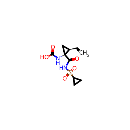 C=C[C@@H]1C[C@]1(NC(=O)O)C(=O)NS(=O)(=O)C1CC1